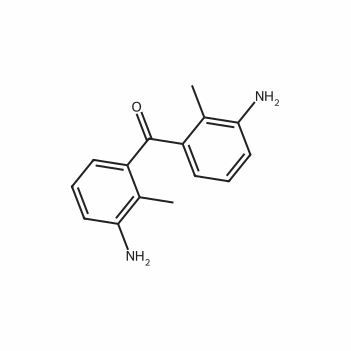 Cc1c(N)cccc1C(=O)c1cccc(N)c1C